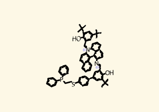 CC(C)(C)c1cc(/C=N/c2ccc3ccccc3c2-c2c(/N=C/c3cc(-c4ccc(SCCP(c5ccccc5)c5ccccc5)cc4)cc(C(C)(C)C)c3O)ccc3ccccc23)c(O)c(C(C)(C)C)c1